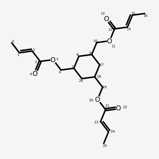 CC=CC(=O)OCC1CC(COC(=O)C=CC)CC(COC(=O)C=CC)C1